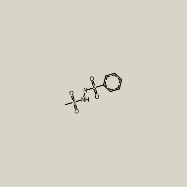 CS(=O)(=O)N[N]S(=O)(=O)c1ccccc1